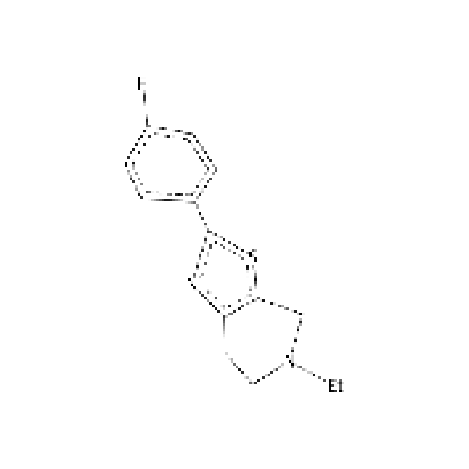 CCN1CCc2nc(-c3ccc(F)cc3)sc2C1